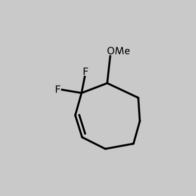 COC1CCCC/C=C\C1(F)F